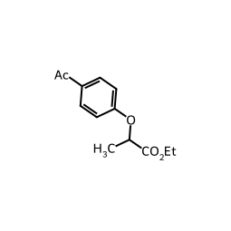 CCOC(=O)C(C)Oc1ccc(C(C)=O)cc1